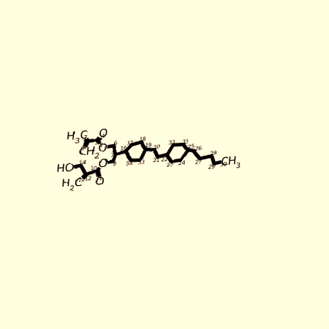 C=C(C)C(=O)OCC(COC(=O)C(=C)CO)C1CCC(CCC2CCC(CCCCC)CC2)CC1